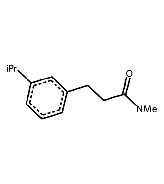 CNC(=O)CCc1cccc(C(C)C)c1